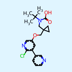 CC(C)(C)N(CC1(COc2cnc(Cl)c(-c3cccnc3)c2)CC1)C(=O)O